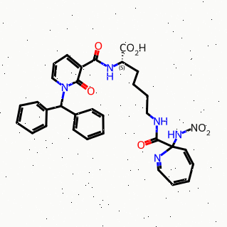 O=C(N[C@@H](CCCCNC(=O)C1(N[N+](=O)[O-])C=CC=CC=N1)C(=O)O)c1cccn(C(c2ccccc2)c2ccccc2)c1=O